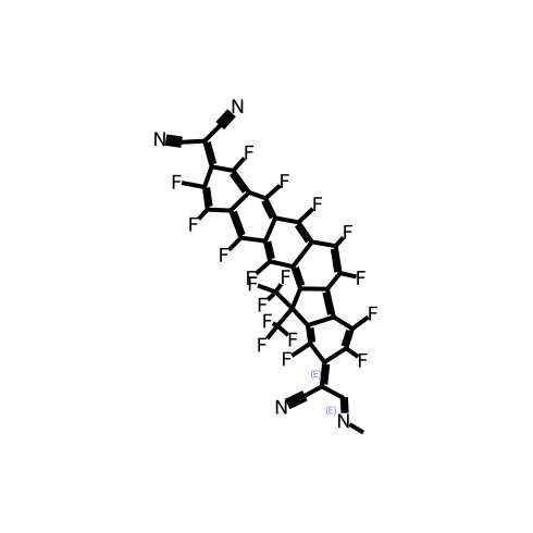 C/N=C/C(C#N)=c1\c(F)c(F)c2c(c1F)C(C(F)(F)F)(C(F)(F)F)c1c=2c(F)c(F)c2c(F)c3c(F)c4c(F)c(=C(C#N)C#N)c(F)c(F)c4c(F)c3c(F)c12